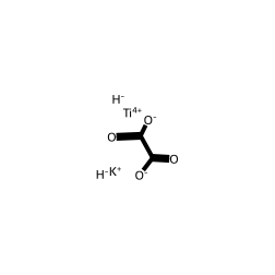 O=C([O-])C(=O)[O-].[H-].[H-].[K+].[Ti+4]